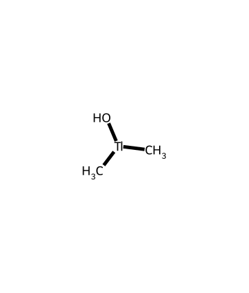 [CH3][Tl]([CH3])[OH]